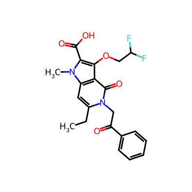 CCc1cc2c(c(OCC(F)F)c(C(=O)O)n2C)c(=O)n1CC(=O)c1ccccc1